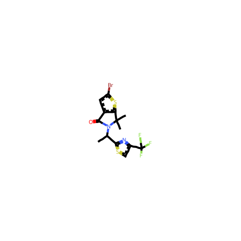 CC(c1nc(C(F)(F)F)cs1)N1C(=O)c2cc(Br)sc2C1(C)C